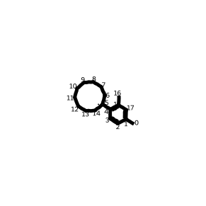 Cc1ccc([C]2CCCCCCCCC2)c(C)c1